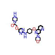 O=C(COc1cnc(NC2CCC(Oc3nc(N4CCOCC4)cc4ncccc34)CC2)nc1)N1CCNCC1